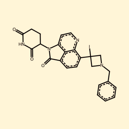 O=C1CCC(N2C(=O)c3ccc(C4(I)CN(Cc5ccccc5)C4)c4nccc2c34)C(=O)N1